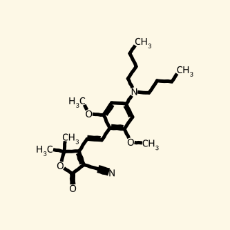 CCCCN(CCCC)c1cc(OC)c(/C=C/C2=C(C#N)C(=O)OC2(C)C)c(OC)c1